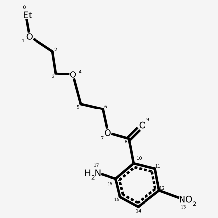 CCOCCOCCOC(=O)c1cc([N+](=O)[O-])ccc1N